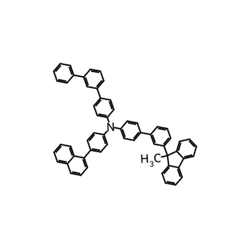 CC1(c2cccc(-c3ccc(N(c4ccc(-c5cccc(-c6ccccc6)c5)cc4)c4ccc(-c5cccc6ccccc56)cc4)cc3)c2)c2ccccc2-c2ccccc21